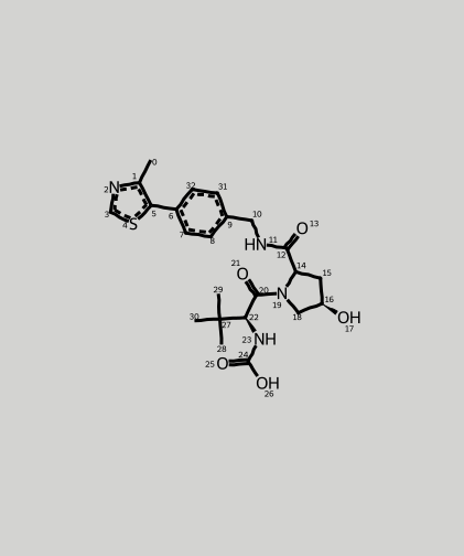 Cc1ncsc1-c1ccc(CNC(=O)C2C[C@@H](O)CN2C(=O)[C@@H](NC(=O)O)C(C)(C)C)cc1